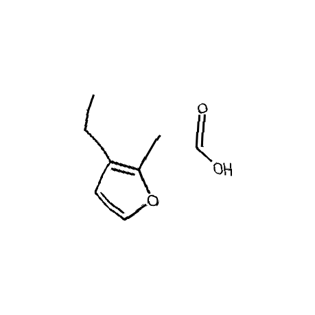 CCc1ccoc1C.O=CO